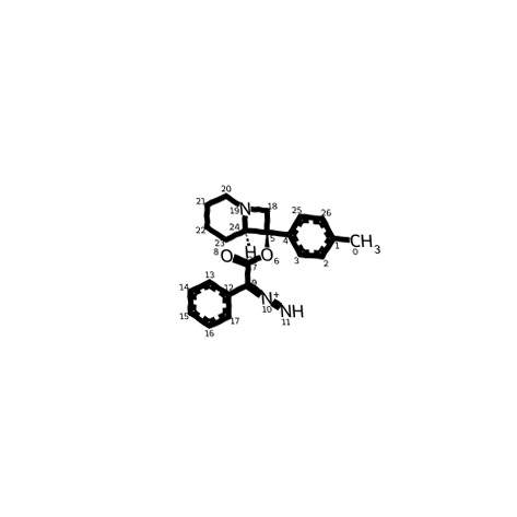 Cc1ccc([C@@]2(OC(=O)C(=[N+]=N)c3ccccc3)CN3CCCC[C@@H]32)cc1